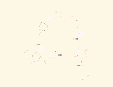 C=C1C[C@H]2[C@H](O)N(C(=O)OCc3ccc(NBC(=O)C(C)(C)CCOC(C)(C)CCNC(=O)CCN4C(=O)CC(C5CCCCCCCC5)C4=O)cc3)c3cc(OCCCC)c(OC)cc3C(=O)N2C1